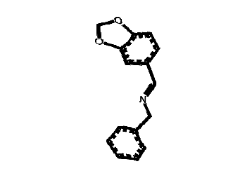 C(=NCc1ccccc1)c1ccc2c(c1)OCO2